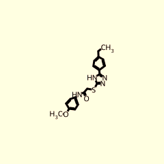 CCc1ccc(-c2nnc(SCC(=O)Nc3ccc(OC)cc3)[nH]2)cc1